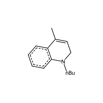 CCCCN1CC=C(C)c2ccccc21